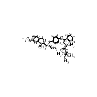 CSc1ncc(C=O)c(N(C)CCN(C)Cc2ccc(OC(CN(C)C(=O)OC(C)(C)C)c3ccccc3)cc2)n1